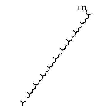 CC(C)=CCC/C(C)=C/CC/C(C)=C/CC/C(C)=C/CC/C(C)=C/CC/C(C)=C/CC/C(C)=C/CC/C(C)=C/CC/C(C)=C/CC/C(C)=C/CCC(C)CCO